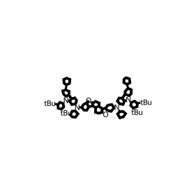 CC(C)(C)c1cc(-n2c3ccc(-c4ccccc4)cc3c3ccc(N(c4ccccc4)c4ccc5c(c4)oc4ccc6c(ccc7oc8cc(N(c9ccccc9)c9ccc%10c%11cc(-c%12ccccc%12)ccc%11n(-c%11cc(C(C)(C)C)cc(C(C)(C)C)c%11)c%10c9)ccc8c76)c45)cc32)cc(C(C)(C)C)c1